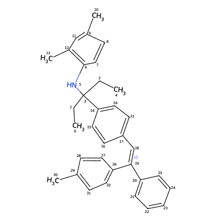 CCC(CC)(Nc1ccc(C)cc1C)c1ccc(/C=C(/c2ccccc2)c2ccc(C)cc2)cc1